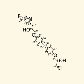 CC(C)(c1ccc(OCC(O)CCl)cc1)c1ccc(OCC(O)Cn2cc(CF)nn2)cc1